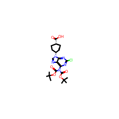 CC(C)(C)OC(=O)N(C(=O)OC(C)(C)C)c1nc(Cl)nc2c1ncn2[C@H]1CC[C@@H](C(=O)O)CC1